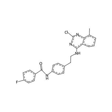 Cc1cccc2c(NCCc3ccc(NC(=O)c4ccc(F)cc4)cc3)nc(Cl)nc12